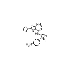 Cn1ncc(NC(=O)c2nc(C3=CCCC3)sc2N)c1N1CCC[C@@H](N)CC1